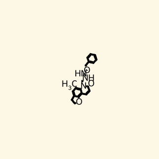 Cc1cc2c(c3ccc(=O)n(CNNOCc4ccccc4)c13)OCC2